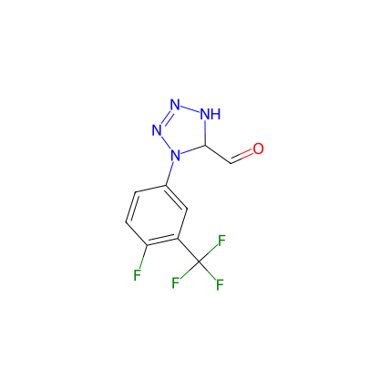 O=CC1NN=NN1c1ccc(F)c(C(F)(F)F)c1